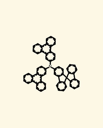 c1ccc2c(c1)-c1ccccc1C21c2ccccc2-c2cc(N(c3ccc4c5ccccc5c5ccccc5c4c3)c3ccc4c5ccccc5c5ccccc5c4c3)ccc21